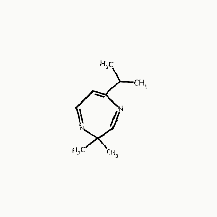 CC(C)C1=CC=NC(C)(C)C=N1